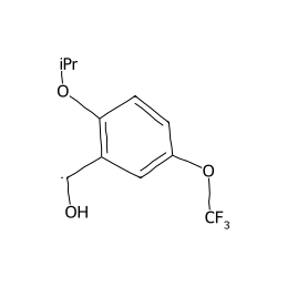 CC(C)Oc1ccc(OC(F)(F)F)cc1[CH]O